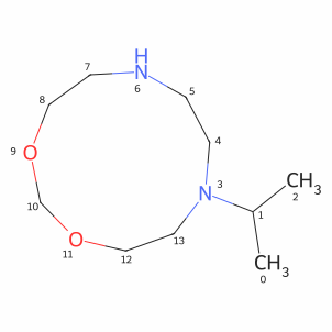 CC(C)N1CCNCCOCOCC1